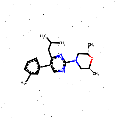 Cc1cccc(-c2cnc(N3C[C@@H](C)O[C@@H](C)C3)nc2CC(C)C)c1